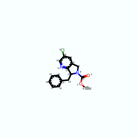 CC(C)(C)OC(=O)N1Cc2cc(Cl)cnc2C1Cc1ccccc1